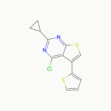 Clc1nc(C2CC2)nc2scc(-c3cccs3)c12